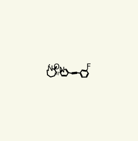 CN1CCCC[C@@H](c2ccc(C#Cc3cccc(F)c3)cn2)C1=O